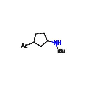 CCC(C)NC1CCC(C(C)=O)C1